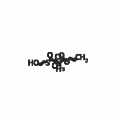 C=CCOC(=O)NC(C)(C)C(=O)SCCO